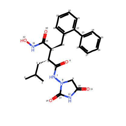 CC(C)C[C@@H](C(=O)NN1CC(=O)NC1=O)[C@H](Cc1ccccc1-c1ccccc1)C(=O)NO